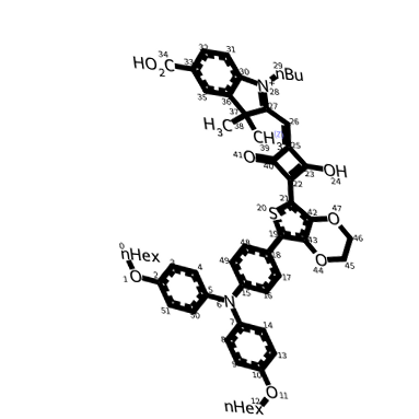 CCCCCCOc1ccc(N(c2ccc(OCCCCCC)cc2)c2ccc(-c3sc(C4=C(O)/C(=C/C5=[N+](CCCC)c6ccc(C(=O)O)cc6C5(C)C)C4=O)c4c3OCCO4)cc2)cc1